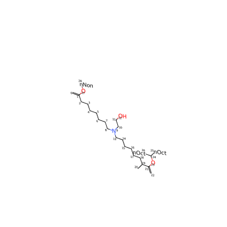 C=C(CCCCCCCN(CCO)CCCCCCC(C)C(=C)OC(CCCCCCCC)CCCCCCCC)OCCCCCCCCC